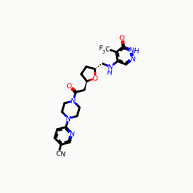 N#Cc1ccc(N2CCN(C(=O)C[C@H]3CC[C@H](CNc4cn[nH]c(=O)c4C(F)(F)F)O3)CC2)nc1